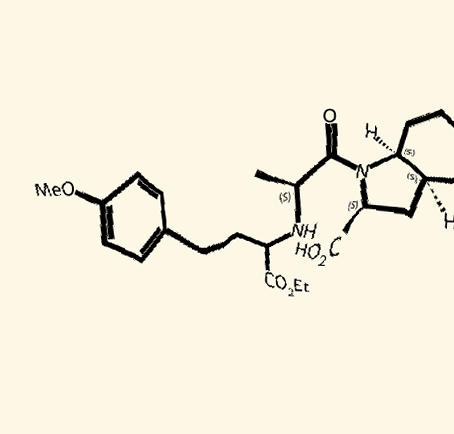 CCOC(=O)C(CCc1ccc(OC)cc1)N[C@@H](C)C(=O)N1[C@H](C(=O)O)C[C@@H]2CCCC[C@@H]21